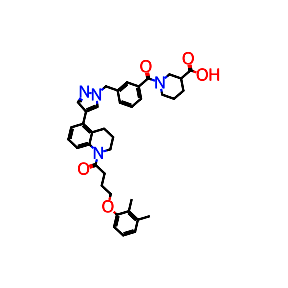 Cc1cccc(OCCCC(=O)N2CCCc3c(-c4cnn(Cc5cccc(C(=O)N6CCCC(C(=O)O)C6)c5)c4)cccc32)c1C